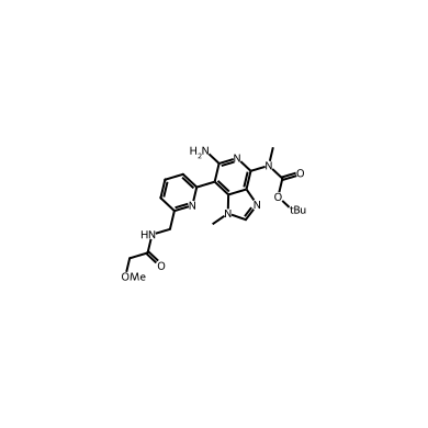 COCC(=O)NCc1cccc(-c2c(N)nc(N(C)C(=O)OC(C)(C)C)c3ncn(C)c23)n1